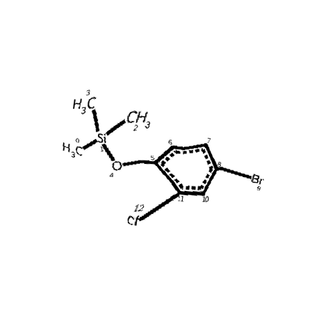 C[Si](C)(C)Oc1ccc(Br)cc1Cl